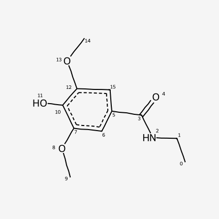 CCNC(=O)c1cc(OC)c(O)c(OC)c1